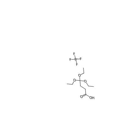 CCOC(CCC(=O)O)(OCC)OCC.F[B-](F)(F)F